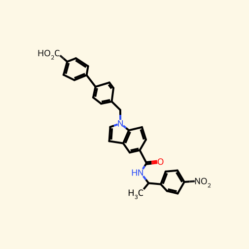 CC(NC(=O)c1ccc2c(ccn2Cc2ccc(-c3ccc(C(=O)O)cc3)cc2)c1)c1ccc([N+](=O)[O-])cc1